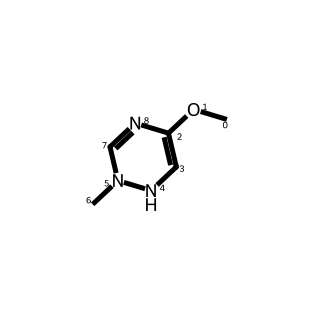 COC1=CNN(C)[C]=N1